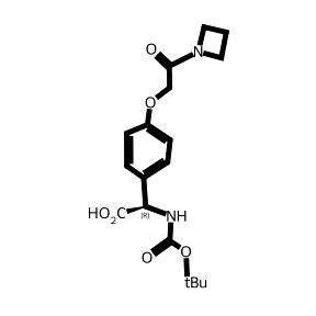 CC(C)(C)OC(=O)N[C@@H](C(=O)O)c1ccc(OCC(=O)N2CCC2)cc1